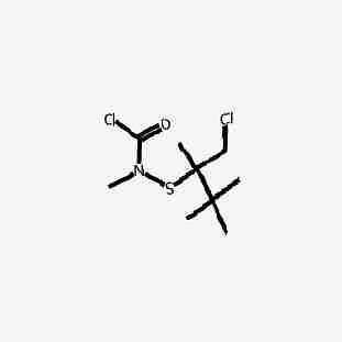 CN(SC(C)(CCl)C(C)(C)C)C(=O)Cl